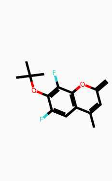 C=C1C=C(C)c2cc(F)c(OC(C)(C)C)c(F)c2O1